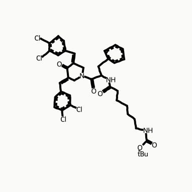 CC(C)(C)OC(=O)NCCCCCCC(=O)NC(Cc1ccccc1)C(=O)N1CC(=Cc2ccc(Cl)c(Cl)c2)C(=O)C(=Cc2ccc(Cl)c(Cl)c2)C1